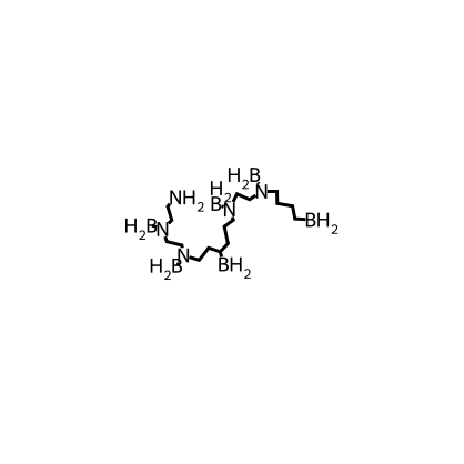 BCCCCN(B)CCN(B)CCCC(B)CCN(B)CCN(B)CCN